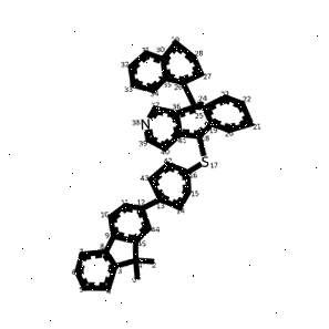 CC1(C)c2ccccc2-c2ccc(-c3ccc(Sc4c5ccccc5c(-c5cccc6ccccc56)c5cnccc45)cc3)cc21